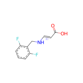 O=C(O)/C=C/NCc1c(F)cccc1F